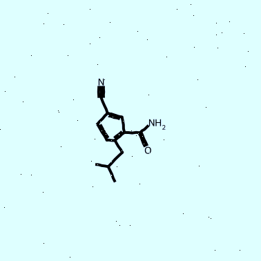 CC(C)Cc1ccc(C#N)cc1C(N)=O